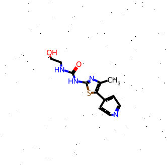 Cc1nc(NC(=O)NCCO)sc1-c1ccncc1